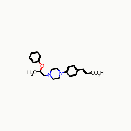 CC(CN1CCN(c2ccc(C=CC(=O)O)cc2)CC1)Oc1ccccc1